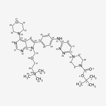 CC(C)(C)OC(=O)N1CCN(c2ccc(Nc3ccc(-c4cc5c(N6CCOCC6)ncnc5n4COCC[Si](C)(C)C)cc3)nn2)CC1